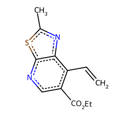 C=Cc1c(C(=O)OCC)cnc2sc(C)nc12